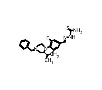 CC(C)[C@H]1CN(Cc2ccccc2)CCN1c1c(F)cc(C=NNC(N)=S)cc1F